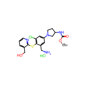 CC(C)(C)OC(=O)NC1CCN(c2cc(Cl)c(Sc3ncccc3CO)c(CN)c2)C1.Cl